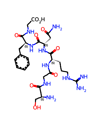 N=C(N)NCCC[C@H](NC(=O)CNC(=O)[C@@H](N)CO)C(=O)N[C@@H](CC(N)=O)C(=O)N[C@@H](Cc1ccccc1)C(=O)NCC(=O)O